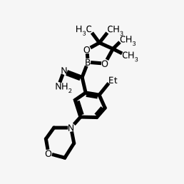 CCc1ccc(N2CCOCC2)cc1/C(=N\N)B1OC(C)(C)C(C)(C)O1